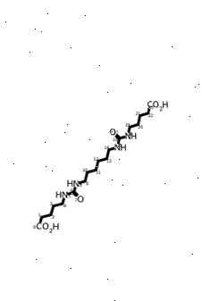 O=C(O)CCCCNC(=O)NCCCCCCNC(=O)NCCCCC(=O)O